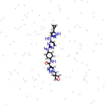 CN(c1nccc(Nc2cc(C3CC3)[nH]n2)n1)C1CCC(NC(=O)c2cn(CC3(C)COC3)nn2)CC1